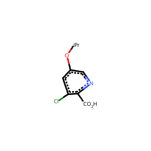 CC(C)Oc1cnc(C(=O)O)c(Cl)c1